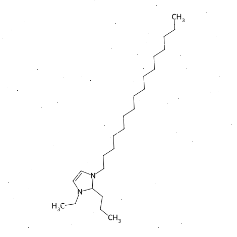 CCCCCCCCCCCCCCCCN1C=CN(CC)C1CCC